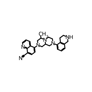 CC1CN(c2ccc(C#N)c3ncccc23)CC2CN(c3cccc4c3CCNC4)CCN12